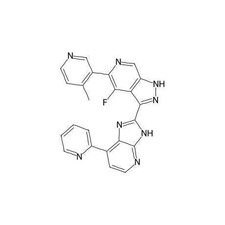 Cc1ccncc1-c1ncc2[nH]nc(-c3nc4c(-c5ccccn5)ccnc4[nH]3)c2c1F